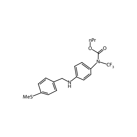 CCCOC(=O)N(c1ccc(NCc2ccc(SC)cc2)cc1)C(F)(F)F